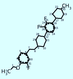 CCOc1ccc(CCC2CCC(c3ccc(C4CCC(C)CC4)c(F)c3F)CC2)cc1F